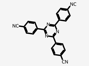 [C-]#[N+]c1ccc(-c2nc(-c3ccc(C#N)cc3)nc(-c3ccc(C#N)cc3)n2)cc1